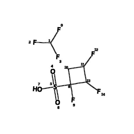 FC(F)F.O=S(=O)(O)C1(F)CC(F)C1F